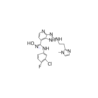 Cn1ccnc1CCNc1nc2nccc(/C(=N\O)Nc3ccc(F)c(Cl)c3)c2[nH]1